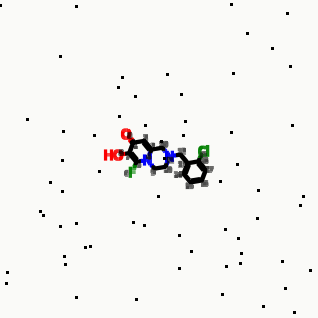 O=c1cc2n(c(F)c1O)CCN(Cc1ccccc1Cl)C2